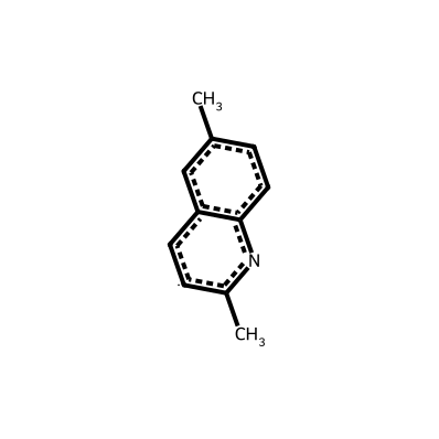 Cc1ccc2nc(C)[c]cc2c1